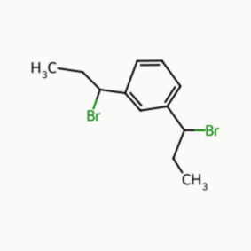 CCC(Br)c1cccc(C(Br)CC)c1